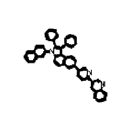 c1ccc(-c2c(-c3ccccc3)n(-c3ccc4ccccc4c3)c3ccc4cc(-c5ccc(-c6cnc7ccccc7c6)nc5)ccc4c23)cc1